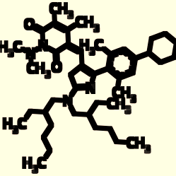 CCCCC(CC)CN(CC(CC)CCCC)C1=NC(c2c(C)cc(C3CCCCC3)cc2C)=C(/C=C2\C(=O)N(N(C)C)C(=O)C(C)=C2C)C1